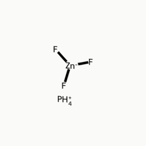 [F][Zn-]([F])[F].[PH4+]